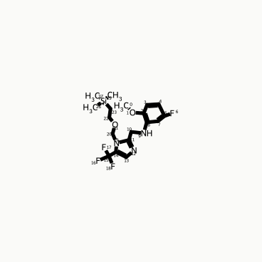 COc1ccc(F)cc1NCc1ncc(C(F)(F)F)n1COCC[Si](C)(C)C